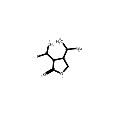 CC(I)C1C(=O)OCC1C(C)C(C)(C)C